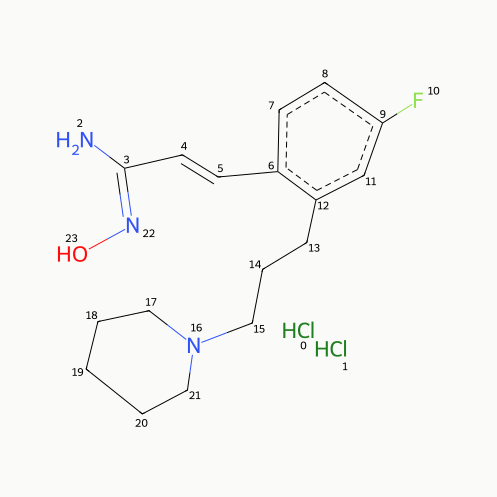 Cl.Cl.NC(C=Cc1ccc(F)cc1CCCN1CCCCC1)=NO